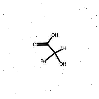 [2H]C([2H])(O)C(=O)O